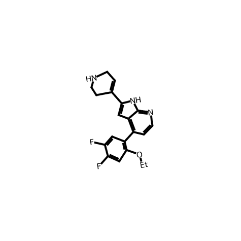 CCOc1cc(F)c(F)cc1-c1ccnc2[nH]c(C3=CCNCC3)cc12